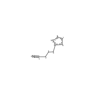 N#CCCCc1cccs1